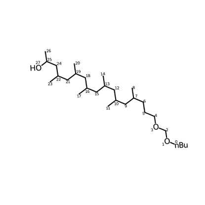 CCCCOCOCCCC(C)CC(C)CC(C)CC(C)CC(C)CC(C)CC(C)O